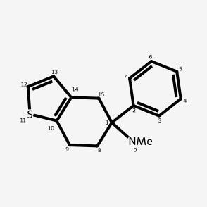 CNC1(c2ccccc2)CCc2sccc2C1